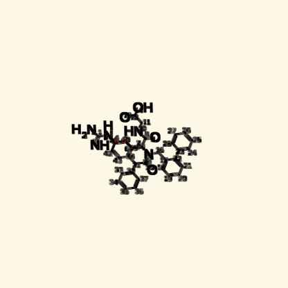 N=C(N)NCCC[C@@H](C(=O)NCC(=O)O)N(Cc1ccccc1-c1ccccc1)C(=O)C(c1ccccc1)c1ccccc1